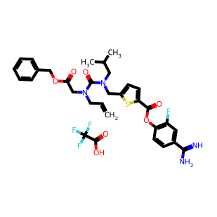 C=CCN(CC(=O)OCc1ccccc1)C(=O)N(Cc1ccc(C(=O)Oc2ccc(C(=N)N)cc2F)s1)CC(C)C.O=C(O)C(F)(F)F